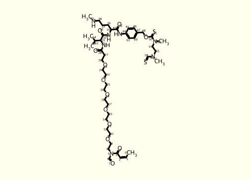 C/C=C\C(=O)N(C=O)CCOCCOCCOCCOCCOCCOCCC(=O)NC(C(=O)NC(CCCNC)C(=O)Nc1ccc(COC(=S)N(C)CCN(C)C=S)cc1)C(C)C